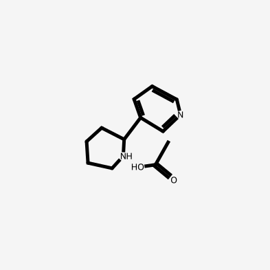 CC(=O)O.c1cncc(C2CCCCN2)c1